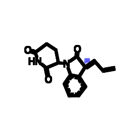 C=C/C=C1/C(=O)N(C2CCC(=O)NC2=O)c2ccccc21